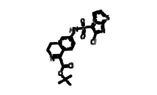 CC(C)(C)OC(=O)C1=NCCc2cc(NS(=O)(=O)c3c(Cl)nc4sccn34)ccc21